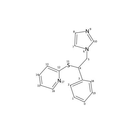 c1ccc(C(Cn2ccnc2)Sc2ccccn2)cc1